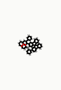 c1ccc(-c2cc3c(cc2-c2cc4c(cc2N(c2ccccc2)c2ccccc2)C2(c5ccccc5-c5ccccc52)c2ccccc2-4)CCCC3)cc1